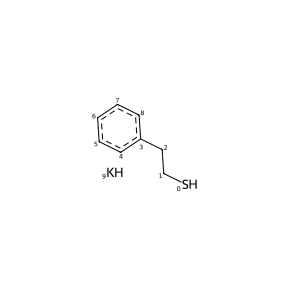 SCCc1ccccc1.[KH]